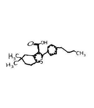 CCCCc1ccc(-c2sc3c(c2C(=O)O)CC(C)(C)CC3)cc1